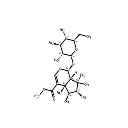 COC(=O)C1=CO[C@@H](O[C@@H]2O[C@H](CO)[C@@H](O)[C@H](O)[C@H]2O)[C@@H]2[C@@](C)(O)[C@@H](O)[C@@H](O)[C@]12O